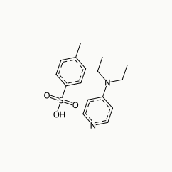 CCN(CC)c1ccncc1.Cc1ccc(S(=O)(=O)O)cc1